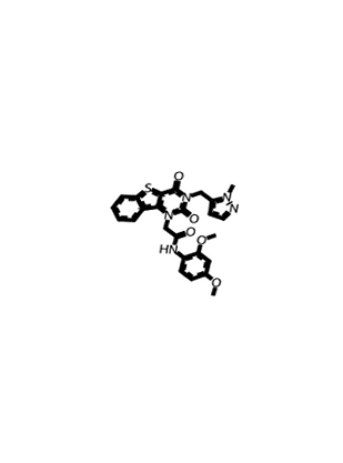 COc1ccc(NC(=O)Cn2c(=O)n(Cc3ccnn3C)c(=O)c3sc4ccccc4c32)c(OC)c1